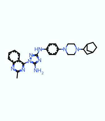 Cc1nc(-n2nc(Nc3ccc(N4CCN(C5CC6CCC5C6)CC4)cc3)nc2N)c2ccccc2n1